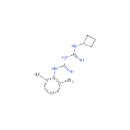 Cc1cccc(C)c1NC(=N)NC(=N)NC1CCC1